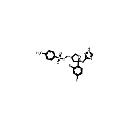 Cc1ccc(S(=O)(=O)OC[C@@H]2CO[C@](Cc3nc[nH]n3)(c3ccc(F)cc3F)C2)cc1